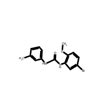 COc1ccc(Br)cc1NC(=O)Nc1cccc(C)c1